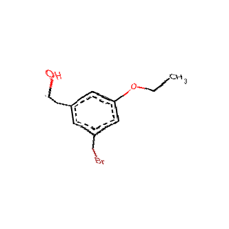 CCOc1cc(Br)cc([CH]O)c1